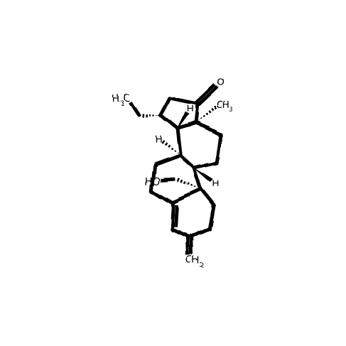 C=C1C=C2CC[C@H]3[C@@H]4[C@H](CC)CC(=O)[C@@]4(C)CC[C@@H]3[C@@]2(CO)CC1